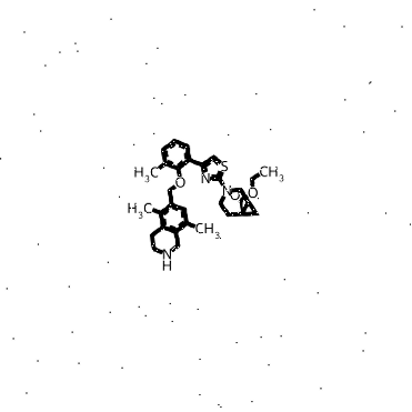 CCOC(=O)[C@@]12CCN(c3nc(-c4cccc(C)c4OCc4cc(C)c5c(c4C)CCNC5)cs3)CC1C2